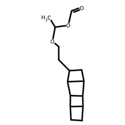 CC(OC=O)OCCC1CC2C1C1C3CCC3C21